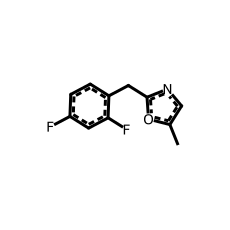 Cc1cnc(Cc2ccc(F)cc2F)o1